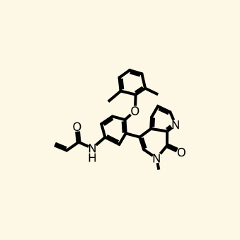 C=CC(=O)Nc1ccc(Oc2c(C)cccc2C)c(-c2cn(C)c(=O)c3ncccc23)c1